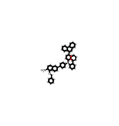 Nc1ccc2cc(-c3ccc(N(c4ccc(-c5cc6ccccc6c6ccccc56)cc4)c4ccccc4C4=CC=CCC4)cc3)ccc2c1OCc1ccccc1